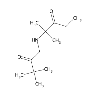 CCC(=O)C(C)(C)NCC(=O)C(C)(C)C